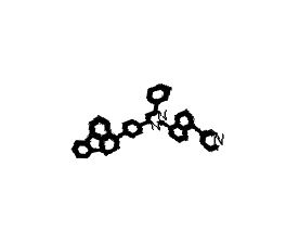 c1ccc(-c2cc(-c3ccc(-c4ccc5c6c(cccc46)-c4ccccc4-5)cc3)nc(-c3cccc4c(-c5cccnc5)cccc34)n2)cc1